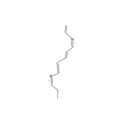 C=C/N=C\C=CC=C/N=C\CC